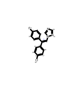 Fc1ccc(/C(=C\n2cncn2)c2ccc(Cl)cc2)cc1